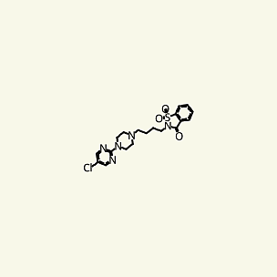 O=C1c2ccccc2S(=O)(=O)N1CCCCN1CCN(c2ncc(Cl)cn2)CC1